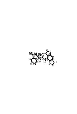 O=C(Nc1c2c(cc3c1CCC3)CCC2)NS1(=O)=NC(=O)c2ccncc21